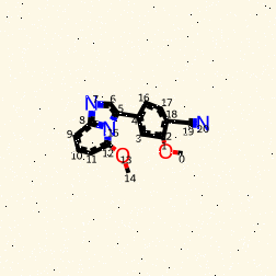 COc1cc(-c2cnc3cccc(OC)n23)ccc1C#N